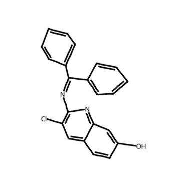 Oc1ccc2cc(Cl)c(N=C(c3ccccc3)c3ccccc3)nc2c1